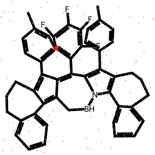 Cc1ccc(C2=C3CCCc4ccccc4C3=C3CBn4c(c(-c5ccc(C)cc5)c5c4-c4ccccc4CCC5)C(c4c(F)c(F)c(F)c(F)c4F)=C32)cc1